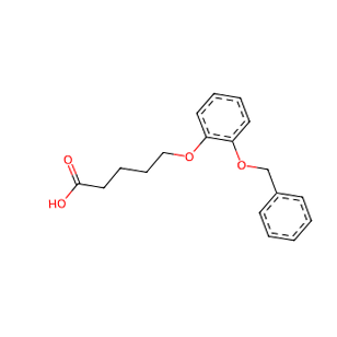 O=C(O)CCCCOc1ccccc1OCc1ccccc1